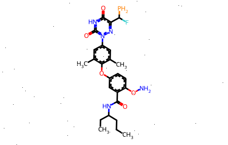 CCCC(CC)NC(=O)c1cc(Oc2c(C)cc(-n3nc(C(F)P)c(=O)[nH]c3=O)cc2C)ccc1ON